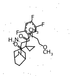 COCCN(C)C(=O)C1(C(=O)N2C3CCC2CC([C@H](N)Cc2cc(F)c(F)cc2F)C3)CC1